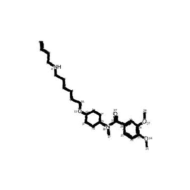 C=CCCNCCCCCCOC1CCC(N(C)C(=O)c2ccc(OC)c(OC)c2)CC1